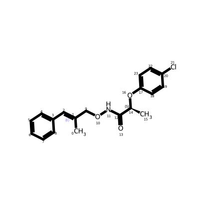 C/C(=C\c1ccccc1)CONC(=O)[C@H](C)Oc1ccc(Cl)cc1